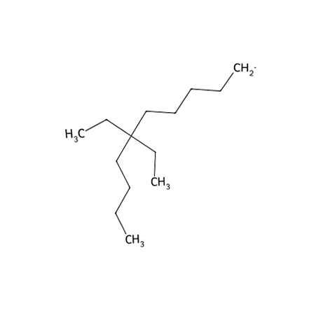 [CH2]CCCCC(CC)(CC)CCCC